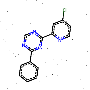 Clc1ccnc(-c2ncnc(-c3ccccc3)n2)c1